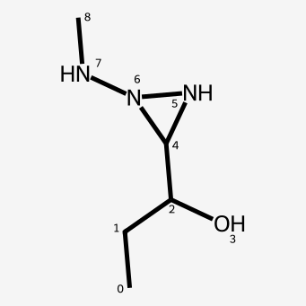 CCC(O)C1NN1NC